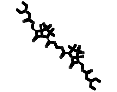 CCN(CC)CC(=O)OC[C@H]1C(=O)N2[C@@H](C(=O)OCOC(=O)[C@@H]3N4C(=O)[C@H](COC(=O)CN(CC)CC)[C@H]4S(=O)(=O)C3(C)C)C(C)(C)S(=O)(=O)[C@H]12